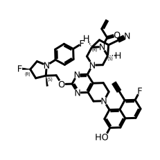 C#Cc1c(F)ccc2cc(O)cc(N3CCc4c(nc(OC[C@]5(C)C[C@@H](F)CN5c5ccc(F)cc5)nc4N4C[C@H]5CC(C#N)[C@@H](C4)N5C(=O)C=C)C3)c12